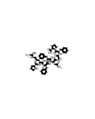 C[C@H](NC(=O)[C@H](CC(N)=O)NC(=O)[C@H](Cc1ccccc1)NC(=O)[C@@H](Cc1ccccc1)NC(=O)[C@H](CCCNC(=N)N)NC(=O)[C@@H]1CCCN1)C(=O)N[C@@H](Cc1ccccc1)C(=O)N1CCC[C@@H]1C(=O)O